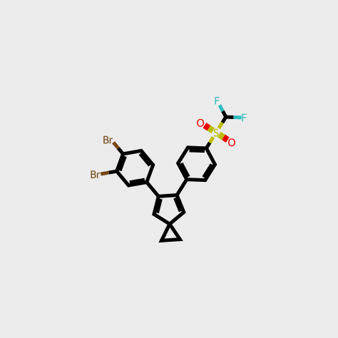 O=S(=O)(c1ccc(C2=CC3(C=C2c2ccc(Br)c(Br)c2)CC3)cc1)C(F)F